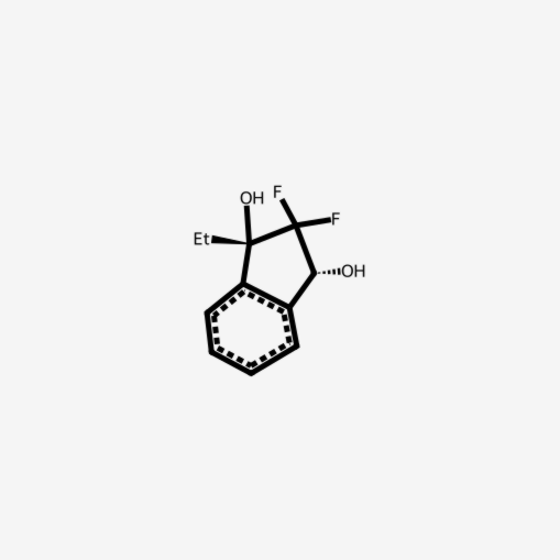 CC[C@]1(O)c2ccccc2[C@@H](O)C1(F)F